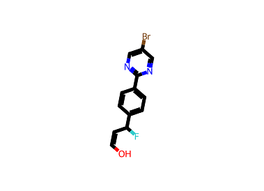 O/C=C\C(F)c1ccc(-c2ncc(Br)cn2)cc1